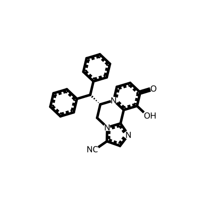 N#Cc1cnc2n1C[C@H](C(c1ccccc1)c1ccccc1)n1ccc(=O)c(O)c1-2